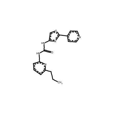 CCCc1cccc(NC(=O)Nc2csc(-c3ccncc3)n2)n1